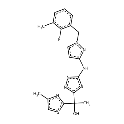 Cc1csc(C(C)(O)c2nnc(Nc3ccn(Cc4cccc(C)c4F)n3)s2)n1